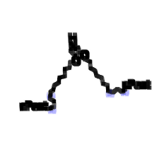 CCCCC/C=C\C/C=C\CCCCCCCCOC1CNCC1OCCCCCCCC/C=C\C/C=C\CCCCC